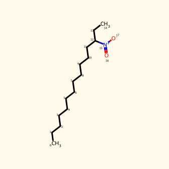 CCCCCCCCCCCCC(CC)[N+](=O)[O-]